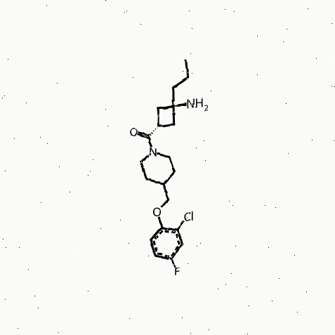 CCC[C@]1(N)C[C@H](C(=O)N2CCC(COc3ccc(F)cc3Cl)CC2)C1